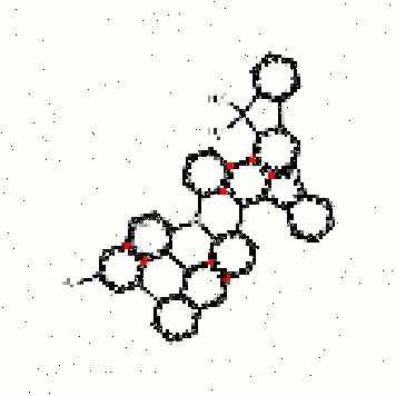 CC(C)(C)c1cc(-c2cccc3cccc(-c4ccccc4N(c4cccc(-c5cccc6c5C(C)(C)c5ccccc5-6)c4)c4ccccc4-c4cccc5oc6ccccc6c45)c23)cc(C(C)(C)C)c1